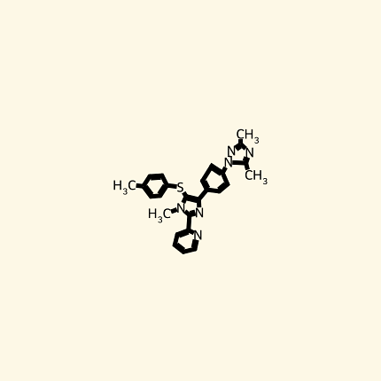 Cc1ccc(Sc2c(-c3ccc(-n4nc(C)nc4C)cc3)nc(-c3ccccn3)n2C)cc1